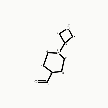 O=CC1CCN(C2COC2)CC1